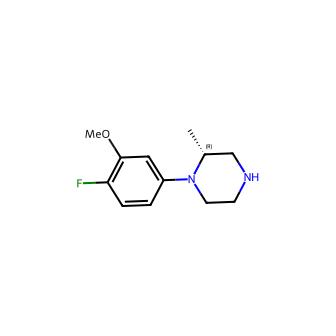 COc1cc(N2CCNC[C@H]2C)ccc1F